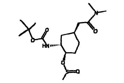 CN(C)C(=O)C[C@H]1CC[C@@H](OS(C)=O)[C@H](NC(=O)OC(C)(C)C)C1